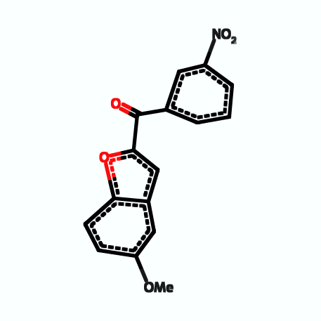 COc1ccc2oc(C(=O)c3cccc([N+](=O)[O-])c3)cc2c1